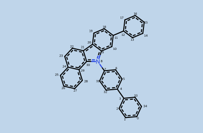 c1ccc(-c2ccc(-n3c4cc(-c5ccccc5)ccc4c4ccc5ccccc5c43)cc2)cc1